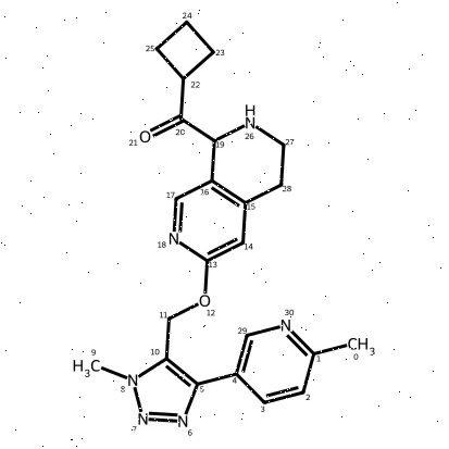 Cc1ccc(-c2nnn(C)c2COc2cc3c(cn2)C(C(=O)C2CCC2)NCC3)cn1